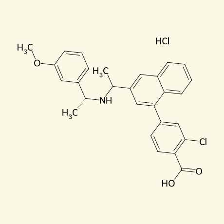 COc1cccc([C@@H](C)NC(C)c2cc(-c3ccc(C(=O)O)c(Cl)c3)c3ccccc3c2)c1.Cl